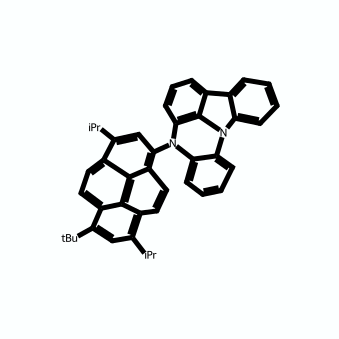 CC(C)c1cc(N2c3ccccc3-n3c4ccccc4c4cccc2c43)c2ccc3c(C(C)C)cc(C(C)(C)C)c4ccc1c2c34